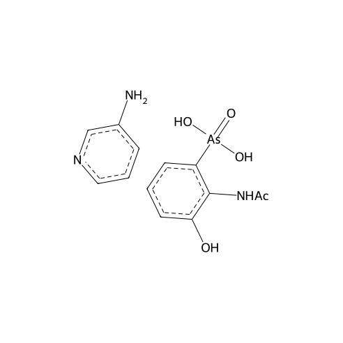 CC(=O)Nc1c(O)cccc1[As](=O)(O)O.Nc1cccnc1